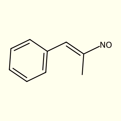 CC(=Cc1ccccc1)N=O